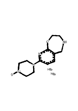 Br.Br.[O-][S+]1CCN(c2ccc3c(n2)OCCNC3)CC1